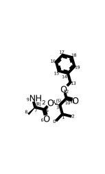 CC(C)[C@H](OC(=O)[C@@H](C)N)C(=O)OCc1ccccc1